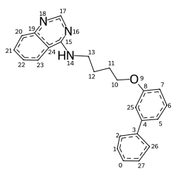 c1ccc(-c2cccc(OCCCCNc3ncnc4ccccc34)c2)cc1